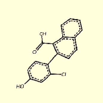 O=C(O)c1c(-c2ccc(O)cc2Cl)ccc2ccccc12